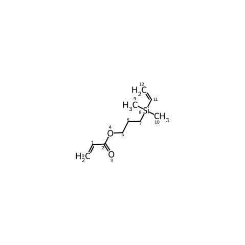 C=CC(=O)OCCC[Si](C)(C)C=C